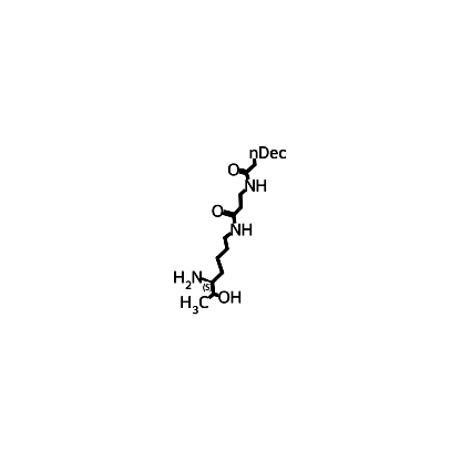 CCCCCCCCCCCC(=O)NCCC(=O)NCCCC[C@H](N)C(C)O